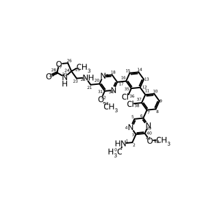 CNCc1ncc(-c2cccc(-c3cccc(-c4cnc(CNCC5(C)COC(=O)N5)c(OC)n4)c3Cl)c2Cl)nc1OC